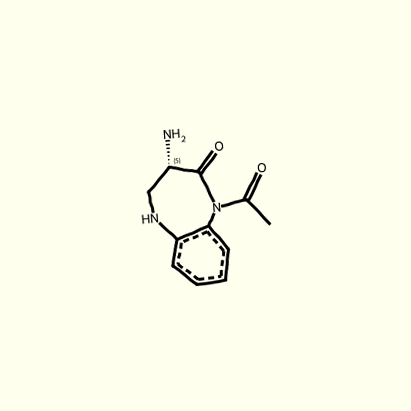 CC(=O)N1C(=O)[C@@H](N)CNc2ccccc21